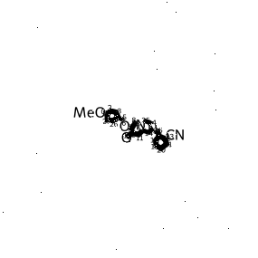 COc1ccc(COc2cn3c(cc2=O)CN(Cc2ccccc2C#N)CC3)cc1